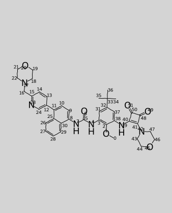 COc1c(NC(=O)Nc2ccc(-c3ccc(CN4CCOCC4)nc3)c3ccccc23)cc(C(C)(C)C)cc1Nc1c(N2CCOCC2)c(=O)c1=O